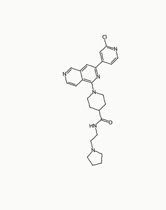 O=C(NCCN1CCCC1)C1CCN(c2nc(-c3ccnc(Cl)c3)cc3cnccc23)CC1